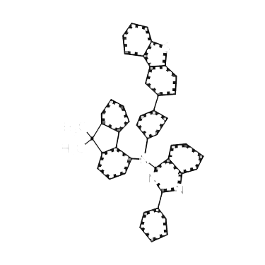 CC1(C)c2ccccc2-c2c(N(c3ccc(-c4ccc5sc6ccccc6c5c4)cc3)c3nc(-c4ccccc4)nc4ccccc34)cccc21